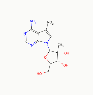 CC1(O)C(n2cc([N+](=O)[O-])c3c(N)ncnc32)OC(CO)[C@H]1O